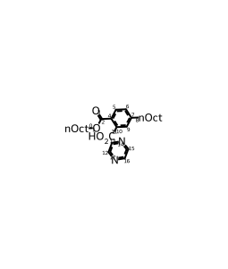 CCCCCCCCOC(=O)c1ccc(CCCCCCCC)cc1C(=O)O.c1cnccn1